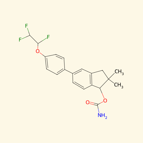 CC1(C)Cc2cc(-c3ccc(OC(F)C(F)F)cc3)ccc2C1OC(N)=O